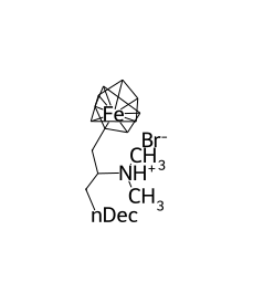 CCCCCCCCCCCC(C[C]12[CH]3[CH]4[CH]5[CH]1[Fe]45321678[CH]2[CH]1[CH]6[CH]7[CH]28)[NH+](C)C.[Br-]